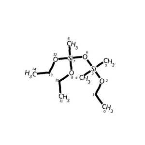 CCO[Si](C)(C)O[Si](C)(OCC)OCC